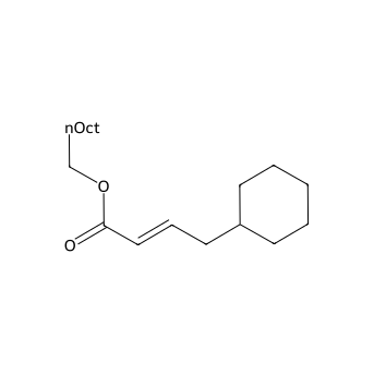 CCCCCCCCCOC(=O)C=CCC1CCCCC1